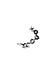 NC(=O)CN(CCN1CCN(c2cccc(-c3cccc(OC(F)(F)F)c3)n2)CC1)C(=O)O